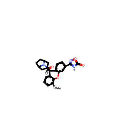 COc1cccc2c1Oc1cc(-c3noc(=O)[nH]3)ccc1C2=C1CC2CCC(C1)N2C(=O)C(F)(F)F